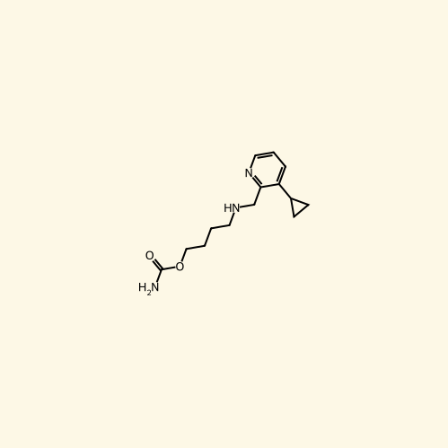 NC(=O)OCCCCNCc1ncccc1C1CC1